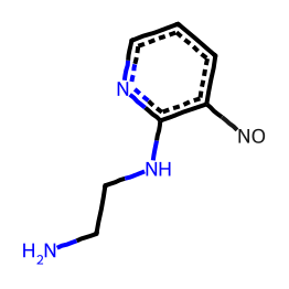 NCCNc1ncccc1N=O